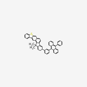 CC1(C)C2=CCC(c3cccc(-c4c5ccccc5c(-c5ccccc5)c5ccccc45)c3)C=C2c2ccc3cc4sc5ccccc5c4cc3c21